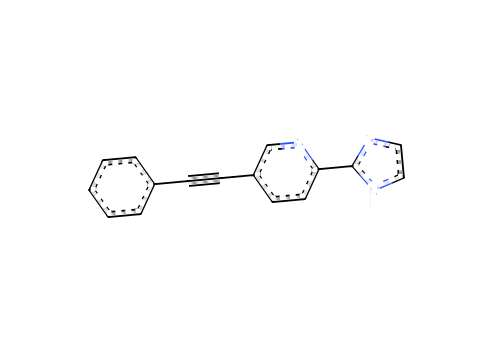 C(#Cc1ccc(-c2ncc[nH]2)nc1)c1ccccc1